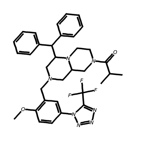 COc1ccc(-n2nnnc2C(F)(F)F)cc1CN1CC2CN(C(=O)C(C)C)CCN2C(C(c2ccccc2)c2ccccc2)C1